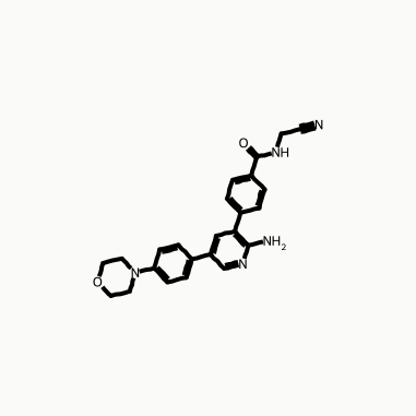 N#CCNC(=O)c1ccc(-c2cc(-c3ccc(N4CCOCC4)cc3)cnc2N)cc1